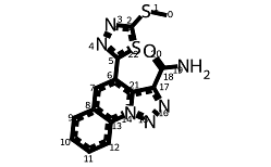 CSc1nnc(-c2cc3ccccc3n3nnc(C(N)=O)c23)s1